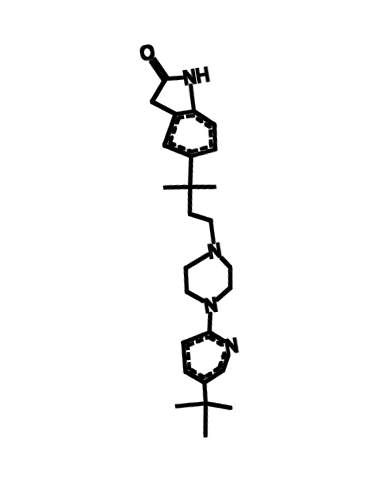 CC(C)(C)c1ccc(N2CCN(CCC(C)(C)c3ccc4c(c3)CC(=O)N4)CC2)nc1